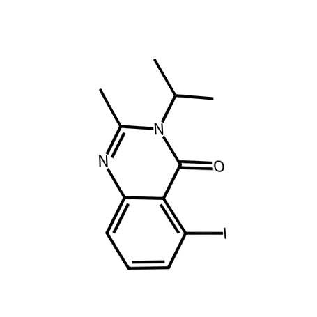 Cc1nc2cccc(I)c2c(=O)n1C(C)C